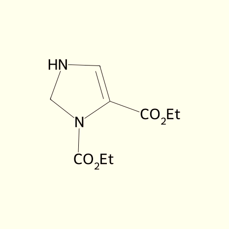 CCOC(=O)C1=CNCN1C(=O)OCC